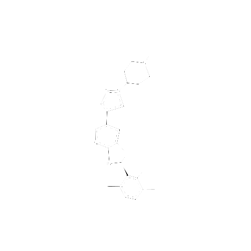 CCN1CCC(n2cc(-c3cnc4c(c3)O[C@@H](c3c(Cl)ccc(F)c3Cl)N4)cn2)CC1